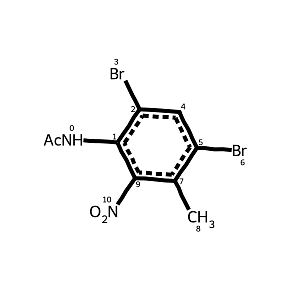 CC(=O)Nc1c(Br)cc(Br)c(C)c1[N+](=O)[O-]